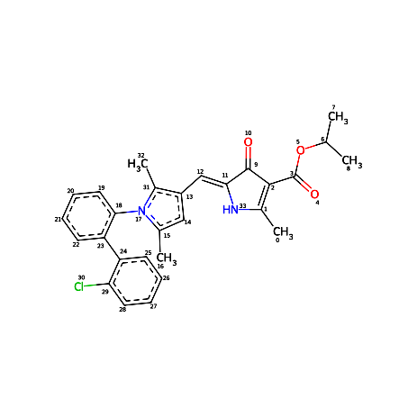 CC1=C(C(=O)OC(C)C)C(=O)C(=Cc2cc(C)n(-c3ccccc3-c3ccccc3Cl)c2C)N1